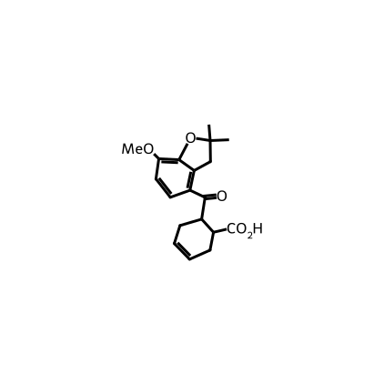 COc1ccc(C(=O)C2CC=CCC2C(=O)O)c2c1OC(C)(C)C2